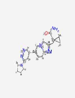 NC(=O)C1(c2cn3cc(-c4cnnc(N5CCCC5)c4)ccc3n2)CC1